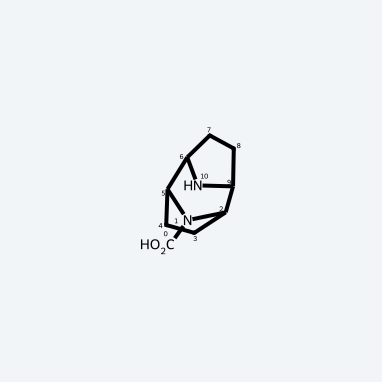 O=C(O)N1C2CCC1C1CCC2N1